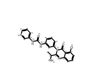 CC(N)c1nc2cccc(Cl)c2c(=O)n1-c1cccc(NC(=O)Nc2cccnc2)c1